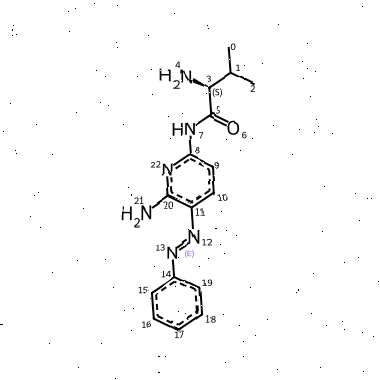 CC(C)[C@H](N)C(=O)Nc1ccc(/N=N/c2ccccc2)c(N)n1